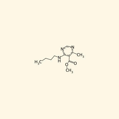 CCCCNc1ncnc(C)c1C(=O)OC